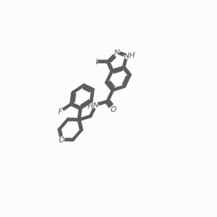 O=C(NCC1(c2ccccc2F)CCOCC1)c1ccc2[nH]nc(I)c2c1